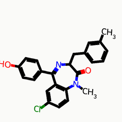 Cc1cccc(CC2N=C(c3ccc(O)cc3)c3cc(Cl)ccc3N(C)C2=O)c1